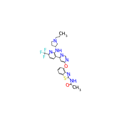 CCCN1CC[C@@H](Nc2nc(C(F)(F)F)ccc2-c2cc(Oc3cccc4sc(NC(C)=O)nc34)ncn2)C1